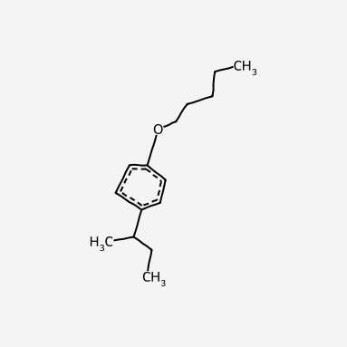 CCCCCOc1ccc(C(C)CC)cc1